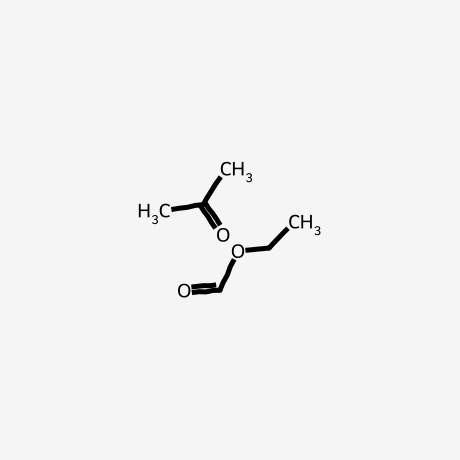 CC(C)=O.CCOC=O